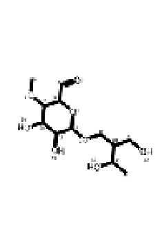 COC1C(C=O)OC(OCC(CO)C(C)O)C(O)C1O